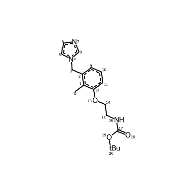 Cc1c(Cn2ccnc2)cccc1OCCNC(=O)OC(C)(C)C